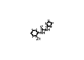 CCc1ccccc1NC(=S)Nc1nccs1